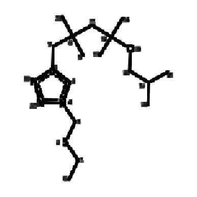 CCSCn1cc(CC(C)(C)CC(C)(C)OCC(C)C)nn1